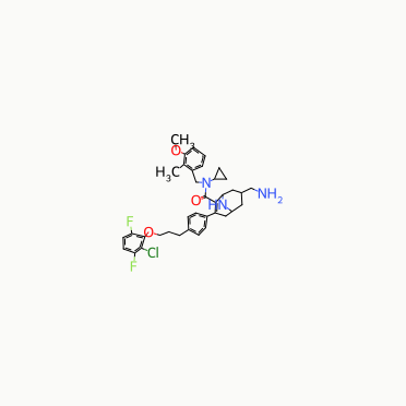 COc1cccc(CN(C(=O)C2=C(c3ccc(CCCOc4c(F)ccc(F)c4Cl)cc3)CC3CC(CN)CC2N3)C2CC2)c1C